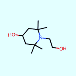 CC1(C)CC(O)CC(C)(C)N1CCO